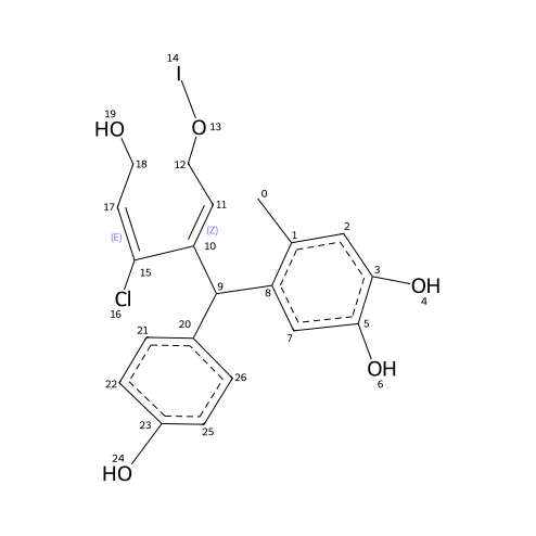 Cc1cc(O)c(O)cc1C(C(=C/COI)/C(Cl)=C\CO)c1ccc(O)cc1